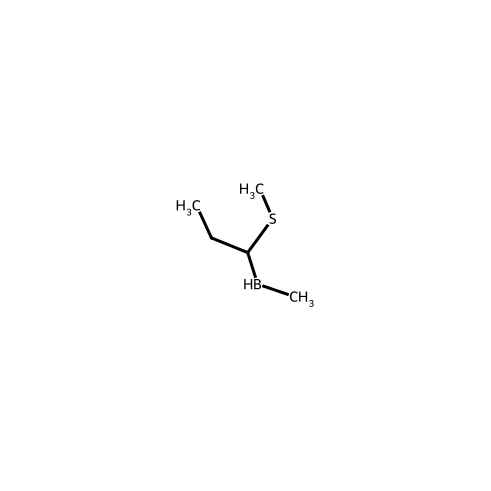 CBC(CC)SC